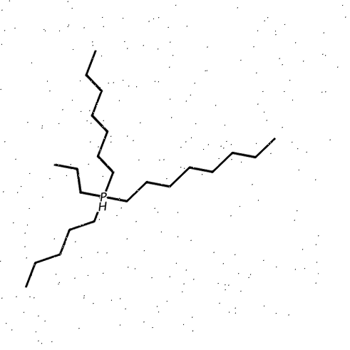 CCCCCCCC[PH](CCC)(CCCCC)CCCCCCC